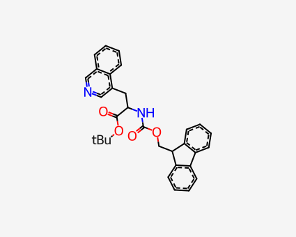 CC(C)(C)OC(=O)C(Cc1cncc2ccccc12)NC(=O)OCC1c2ccccc2-c2ccccc21